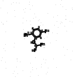 CC(C)c1ccc(F)cc1OC(F)F